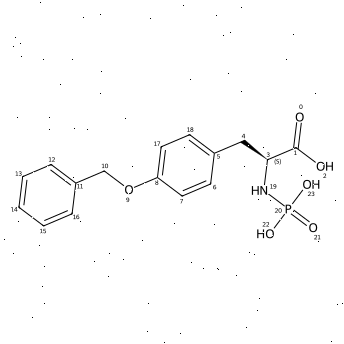 O=C(O)[C@H](Cc1ccc(OCc2ccccc2)cc1)NP(=O)(O)O